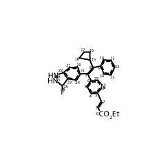 CCOC(=O)/C=C/c1ccc(/C(=C(\c2ccccc2)C2CCC2)c2ccc3c(c2)C(F)NN3)cn1